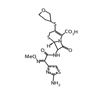 CO/N=C(\C(=O)NC1C(=O)N2C(C(=O)O)=C(SC3CCOC3)CS[C@@H]12)c1csc(N)n1